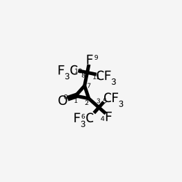 O=C1C(C(F)(C(F)(F)F)C(F)(F)F)C1C(F)(C(F)(F)F)C(F)(F)F